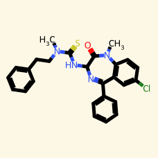 CN(CCc1ccccc1)C(=S)NC1N=C(c2ccccc2)c2cc(Cl)ccc2N(C)C1=O